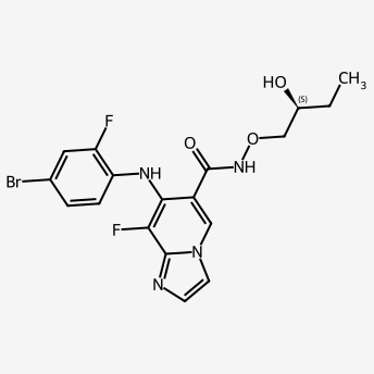 CC[C@H](O)CONC(=O)c1cn2ccnc2c(F)c1Nc1ccc(Br)cc1F